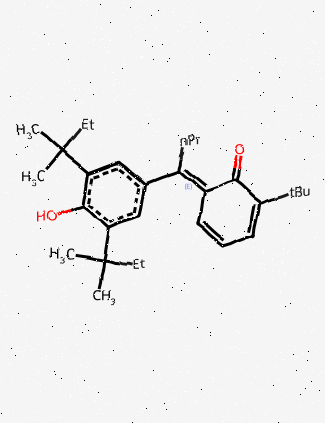 CCC/C(=C1/C=CC=C(C(C)(C)C)C1=O)c1cc(C(C)(C)CC)c(O)c(C(C)(C)CC)c1